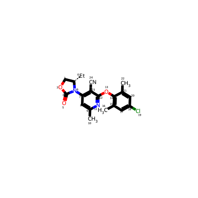 CC[C@H]1COC(=O)N1c1cc(C)nc(Oc2c(C)cc(Cl)cc2C)c1C#N